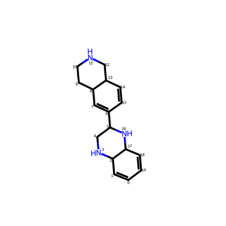 C1=CC2NCC(C3=CC4CCNCC4C=C3)NC2C=C1